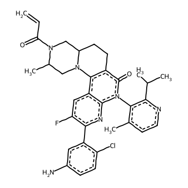 C=CC(=O)N1CC2CCc3c(c4cc(F)c(-c5cc(N)ccc5Cl)nc4n(-c4c(C)ccnc4C(C)C)c3=O)N2CC1C